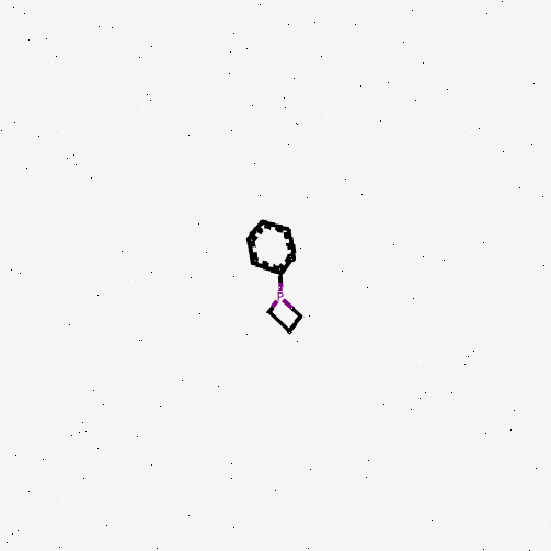 c1ccc(P2CCC2)cc1